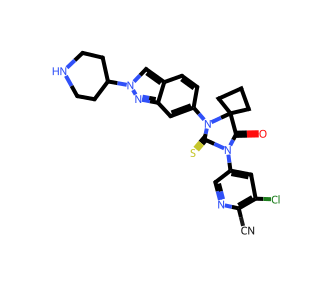 N#Cc1ncc(N2C(=O)C3(CCC3)N(c3ccc4cn(C5CCNCC5)nc4c3)C2=S)cc1Cl